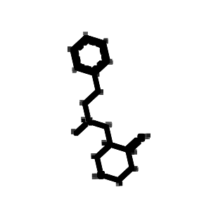 CN(CCc1ccccc1)CC1COCCC1=O